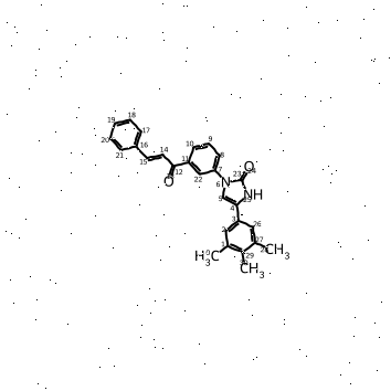 Cc1cc(-c2cn(-c3cccc(C(=O)/C=C/c4ccccc4)c3)c(=O)[nH]2)cc(C)c1C